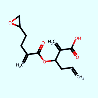 C=CCC(OC(=O)C(=C)CCC1CO1)C(=C)C(=O)O